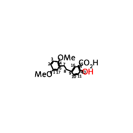 COc1ccc(OC)c(CCc2ccc(O)c(C(=O)O)c2)c1